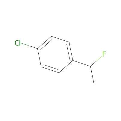 CC(F)c1ccc(Cl)cc1